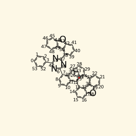 c1ccc(-c2nc(-c3cccc4c(-c5cccc6oc7cccc(-c8ccccc8)c7c56)cccc34)nc(-c3cccc4oc5ccccc5c34)n2)cc1